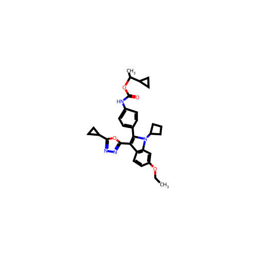 CCOc1ccc2c(-c3nnc(C4CC4)o3)c(-c3ccc(NC(=O)OC(C)C4CC4)cc3)n(C3CCC3)c2c1